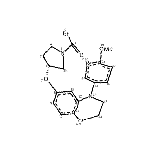 CCC(=O)N1CC[C@@H](Oc2ccc3c(c2)N(c2ccc(OC)nc2)CCO3)C1